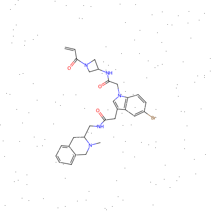 C=CC(=O)N1CC(NC(=O)Cn2cc(CC(=O)NCC3Cc4ccccc4CN3C)c3cc(Br)ccc32)C1